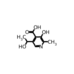 Cc1ncc(C(C)O)c(C(=O)O)c1O